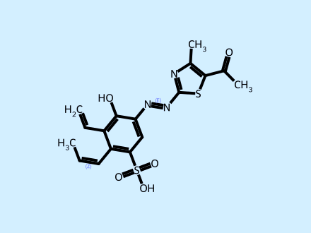 C=Cc1c(O)c(/N=N/c2nc(C)c(C(C)=O)s2)cc(S(=O)(=O)O)c1/C=C\C